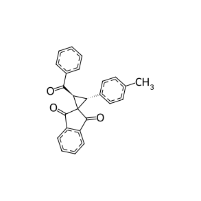 Cc1ccc([C@H]2[C@H](C(=O)c3ccccc3)C23C(=O)c2ccccc2C3=O)cc1